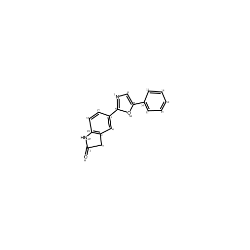 O=C1Cc2cc(-c3ncc(-c4ccccc4)o3)ccc2N1